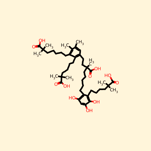 Cc1cc(CCC(C)(CCCCCc2c(O)cc(O)c(O)c2CCCCC(C)(C)C(=O)O)C(=O)O)c(CCCCC(C)(C)C(=O)O)c(CCCCCC(C)(C)C(=O)O)c1C